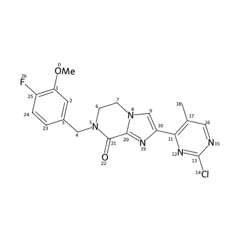 COc1cc(CN2CCn3cc(-c4nc(Cl)ncc4C)nc3C2=O)ccc1F